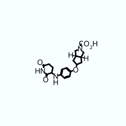 O=C1CCC(Nc2ccc(OC3C[C@@H]4CN(C(=O)O)C[C@@H]4C3)cc2)C(=O)N1